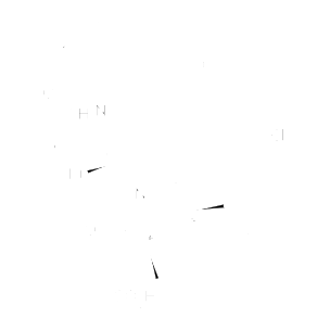 CC[C@@H](CN(CC1CC1)[SH](=O)=O)N1C(=O)[C@@](C)(CC(=O)O)C[C@H](c2cccc(Cl)c2)[C@H]1c1ccc(Cl)cc1